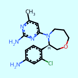 Cc1cc(N2CCCOC[C@H]2c2ccc(N)cc2Cl)nc(N)n1